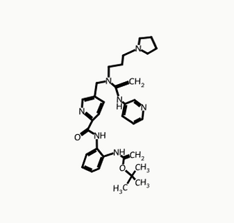 C=C(Nc1ccccc1NC(=O)c1ccc(CN(CCCN2CCCC2)C(=C)Nc2cccnc2)cn1)OC(C)(C)C